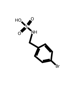 O=S(=O)(O)NCc1ccc(Br)cc1